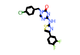 O=c1nc(Nc2nc(-c3ccc(F)c(F)c3)cs2)ncn1Cc1ccc(Cl)cc1